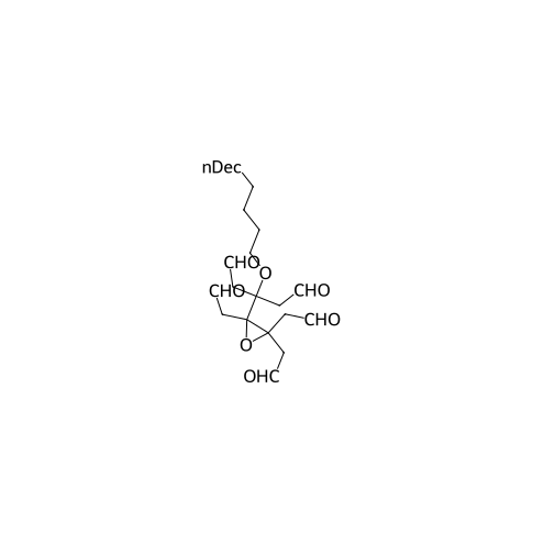 CCCCCCCCCCCCCCOC(CC=O)(CC=O)C1(CC=O)OC1(CC=O)CC=O